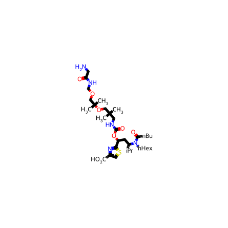 CCCCCCN(C(=O)CCCC)C(CC(OC(=O)NCC(C)(C)COC(C)(C)COCNC(=O)CN)c1nc(C(=O)O)cs1)C(C)C